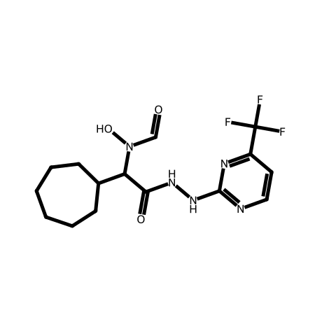 O=CN(O)C(C(=O)NNc1nccc(C(F)(F)F)n1)C1CCCCCC1